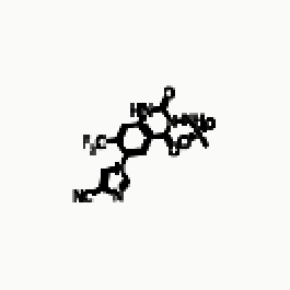 CS(=O)(=O)Nn1c(=O)[nH]c2cc(C(F)(F)F)c(-n3cnc(C#N)c3)cc2c1=O